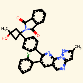 Cc1cc2ncc3cc(-c4ccccc4Cl)c(-c4ccc(C5(N6C(=O)c7ccccc7C6=O)CC(C)(O)C5)cc4)nc3n2n1